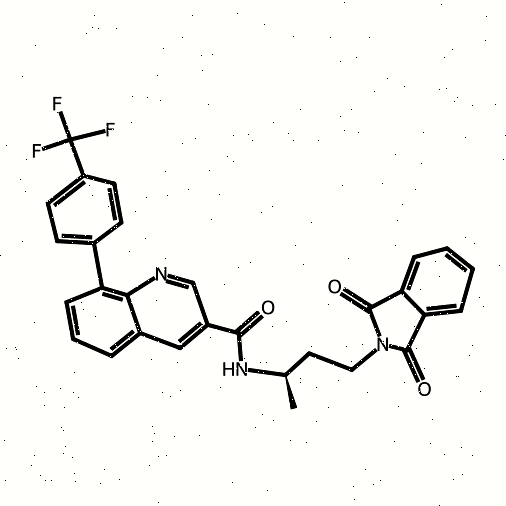 C[C@H](CCN1C(=O)c2ccccc2C1=O)NC(=O)c1cnc2c(-c3ccc(C(F)(F)F)cc3)cccc2c1